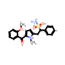 COc1ccccc1C(=O)c1ccc(CC(c2ccccc2)S(N)(=O)=O)n1C